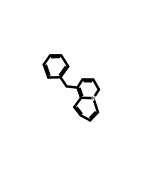 C1=CC2=C(Cc3ccccc3)C=CCN2C=C1